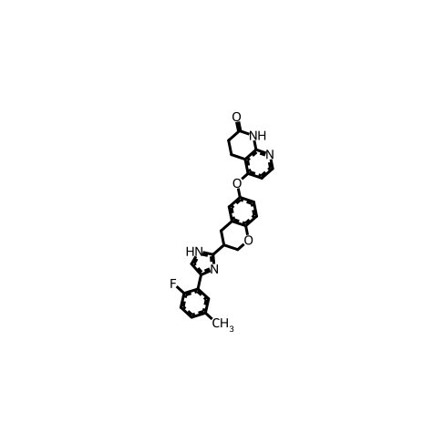 Cc1ccc(F)c(-c2c[nH]c(C3COc4ccc(Oc5ccnc6c5CCC(=O)N6)cc4C3)n2)c1